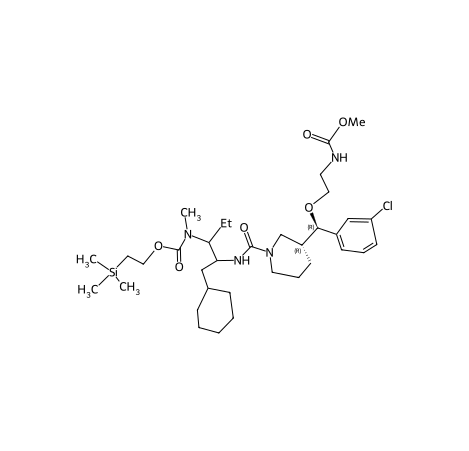 CCC(C(CC1CCCCC1)NC(=O)N1CCC[C@@H]([C@@H](OCCNC(=O)OC)c2cccc(Cl)c2)C1)N(C)C(=O)OCC[Si](C)(C)C